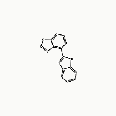 [c]1nc2c(-c3nc4ccccc4[nH]3)cccc2o1